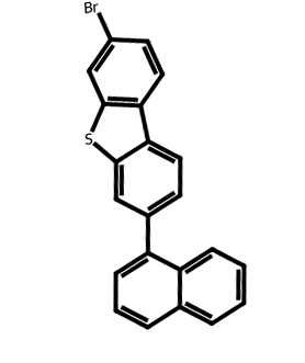 Brc1ccc2c(c1)sc1cc(-c3cccc4ccccc34)ccc12